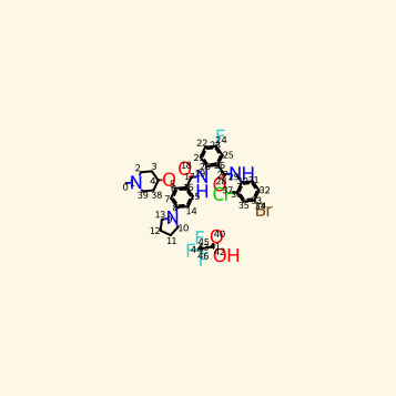 CN1CCC(Oc2cc(N3CCCC3)ccc2C(=O)Nc2ccc(F)cc2C(=O)Nc2ccc(Br)cc2Cl)CC1.O=C(O)C(F)(F)F